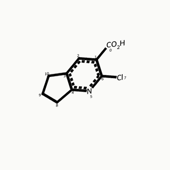 O=C(O)c1cc2c(nc1Cl)CCC2